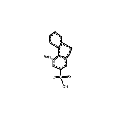 O=S(=O)(O)c1ccc2c(ccc3ccccc32)c1.[BaH2]